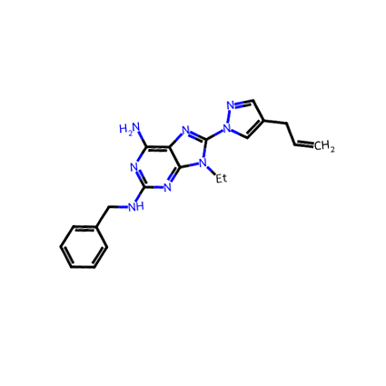 C=CCc1cnn(-c2nc3c(N)nc(NCc4ccccc4)nc3n2CC)c1